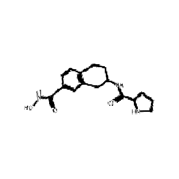 O=C(NO)c1ccc2c(c1)CC(NC(=O)C1CCCN1)CC2